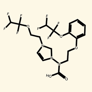 O=C(O)N(CCOc1ccccc1OC(F)(F)C(F)F)N1C=CN(CCOC(F)(F)C(F)F)C1